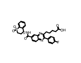 O=C(O)CCCCc1nc2cc(C(=O)N[C@@H]3CCS(=O)(=O)c4ccccc43)ccc2nc1-c1ccc(F)cc1